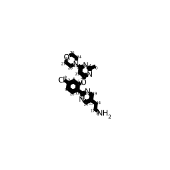 Cc1nc(Oc2cc(Cl)ccc2-c2ncc(CCN)cn2)cc(N2CCOCC2)n1